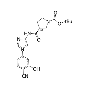 CC(C)(C)OC(=O)N1CC[C@H](C(=O)Nc2cn(-c3ccc(C#N)c(O)c3)cn2)C1